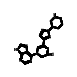 C1=C(c2cnn(C3CCCNC3)n2)SCCN1c1ncnc2[nH]cnc12.Cl